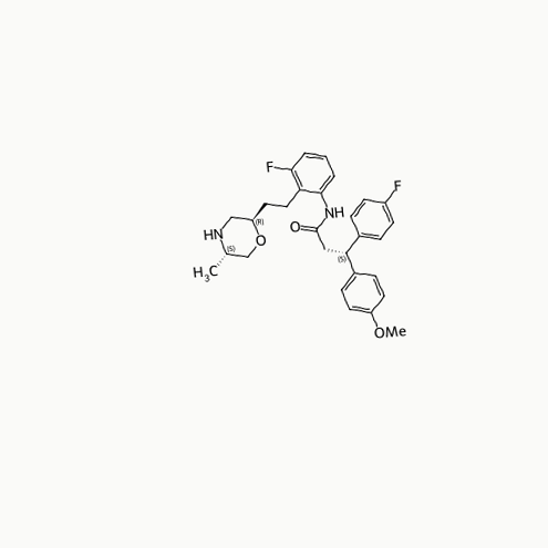 COc1ccc([C@H](CC(=O)Nc2cccc(F)c2CC[C@@H]2CN[C@@H](C)CO2)c2ccc(F)cc2)cc1